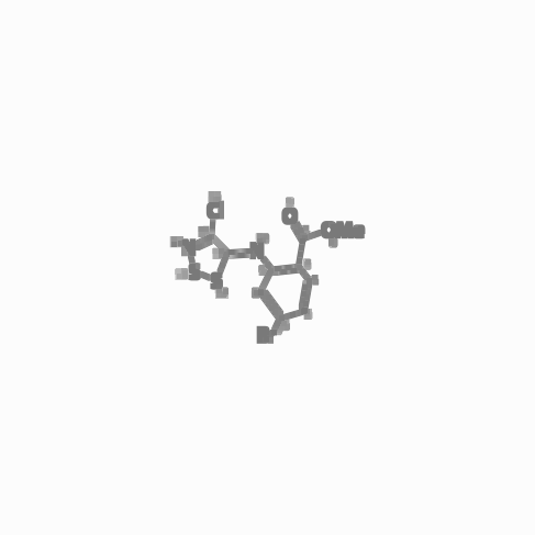 COC(=O)c1ccc(Br)cc1N=c1ssnc1Cl